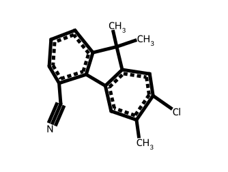 Cc1cc2c(cc1Cl)C(C)(C)c1cccc(C#N)c1-2